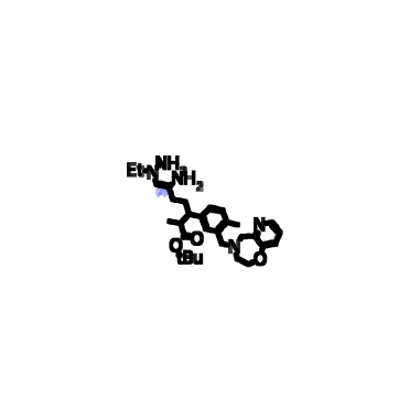 CCN(N)/C=C(\N)CCC(c1ccc(C)c(CN2CCOc3cccnc3C2)c1)C(C)C(=O)OC(C)(C)C